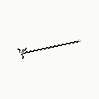 CCO[Si](CCCCCCCCCCCCCCCCCCCCCCCCCCCCl)(OCC)OCC